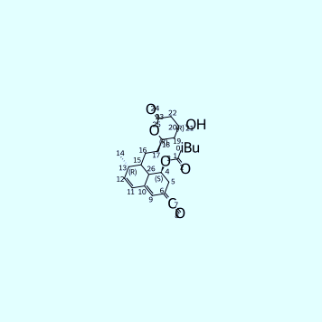 CCC(C)C(=O)O[C@H]1CC(=C=O)C=C2C=C[C@H](C)C(CC[C@@H]3C[C@@H](O)CC(=O)O3)C21